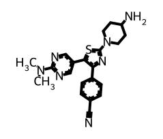 CN(C)c1ncc(-c2sc(N3CCC(N)CC3)nc2-c2ccc(C#N)cc2)cn1